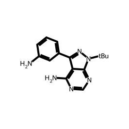 CC(C)(C)n1nc(-c2cccc(N)c2)c2c(N)ncnc21